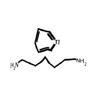 C1=C[CH]=[Tl][CH]=C1.NCCCCCN